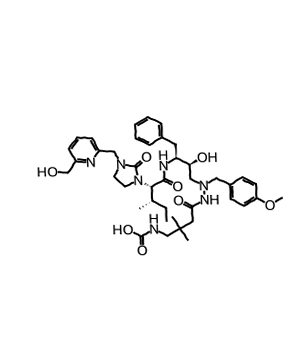 CC[C@H](C)[C@@H](C(=O)N[C@@H](Cc1ccccc1)[C@@H](O)CN(Cc1ccc(OC)cc1)NC(=O)CC(C)(C)CNC(=O)O)N1CCN(Cc2cccc(CO)n2)C1=O